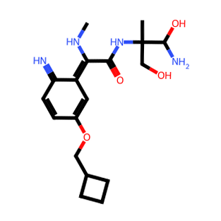 CN/C(C(=O)NC(C)(CO)C(N)O)=C1/C=C(OCC2CCC2)C=CC1=N